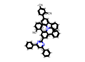 N#Cc1ccc(-c2ccc3c(c2)c2ccccc2n3-c2c(-c3ccccc3C#N)cc(-c3nc(-c4ccccc4)cc(-c4ccccc4)n3)cc2-c2ccccc2C#N)c(C#N)c1